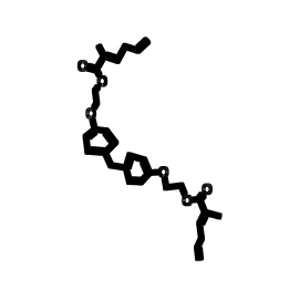 C=CCC=C(C)C(=O)OCCOc1ccc(Cc2ccc(OCCOC(=O)C(C)=CCC=C)cc2)cc1